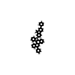 CC1(C)c2cc(-c3ccccc3)ccc2-c2ccc(-n3c4ccccc4c4c5c6ccccc6c(-c6ccccc6)cc5c5ccccc5c43)cc21